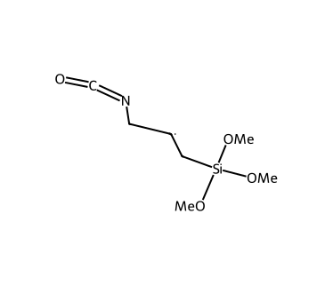 CO[Si](C[CH]CN=C=O)(OC)OC